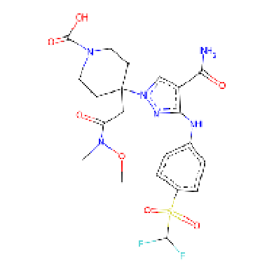 CON(C)C(=O)CC1(n2cc(C(N)=O)c(Nc3ccc(S(=O)(=O)C(F)F)cc3)n2)CCN(C(=O)O)CC1